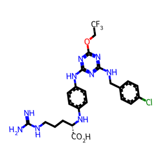 N=C(N)NCCC[C@H](Nc1ccc(Nc2nc(NCc3ccc(Cl)cc3)nc(OCC(F)(F)F)n2)cc1)C(=O)O